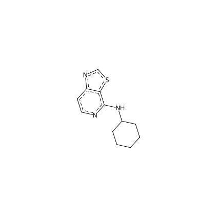 c1cc2ncsc2c(NC2CCCCC2)n1